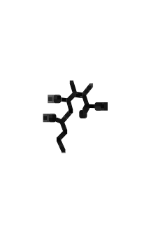 CCCC(O)CC(O)C(C)=C(C)C(=O)O